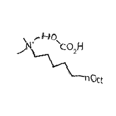 CCCCCCCCCCCCC[N+](C)(C)C.O=C(O)O